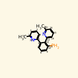 Cc1cccc(-c2cccc(P)c2-c2cccc(C)n2)n1